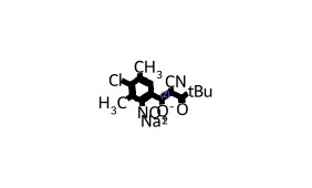 Cc1cc(/C([O-])=C(\C#N)C(=O)C(C)(C)C)c([N+](=O)[O-])c(C)c1Cl.[Na+]